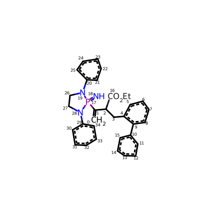 C=C(C(Cc1ccccc1-c1ccccc1)C(=O)OCC)P1(=N)N(c2ccccc2)CCN1c1ccccc1